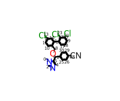 Cn1cncc1[C@H](OCc1ccc(Cl)cc1-c1cccc(Cl)c1Cl)c1ccc(C#N)cc1